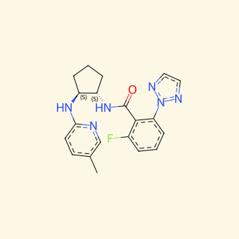 Cc1ccc(N[C@H]2CCC[C@@H]2NC(=O)c2c(F)cccc2-n2nccn2)nc1